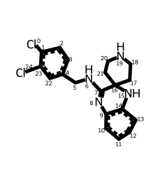 Clc1ccc(CNC2=Nc3ccccc3NC23CCNCC3)cc1Cl